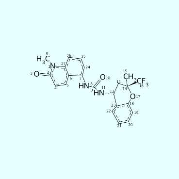 Cn1c(=O)ccc2c(NC(=O)N[C@@H]3C[C@@](C)(C(F)(F)F)Oc4ccccc43)cccc21